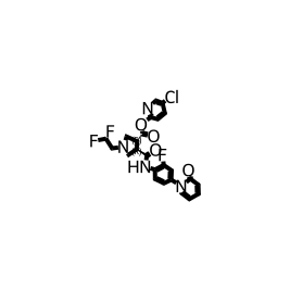 O=C(Nc1ccc(-n2ccccc2=O)cc1F)[C@H]1CN(CC(F)F)C[C@@H]1C(=O)Oc1ccc(Cl)cn1